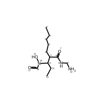 CCCCCC(C(=O)NCN)C(CC)N(O)C=O